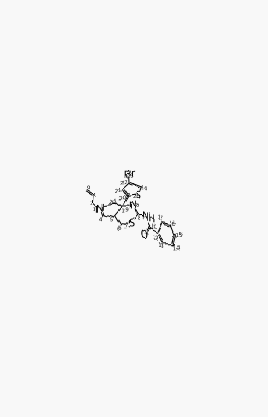 C=CCN1CC2CSC(NC(=O)c3ccccc3)=NC2(c2cc(Br)cs2)C1